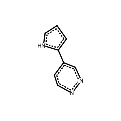 c1c[nH]c(-c2ccnnc2)c1